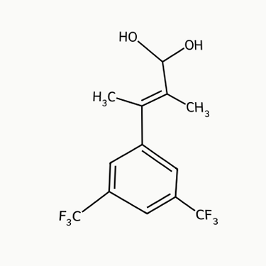 C/C(=C(/C)C(O)O)c1cc(C(F)(F)F)cc(C(F)(F)F)c1